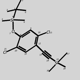 CC(C)(C)[Si](C)(C)Oc1cc(Cl)c(C#C[Si](C)(C)C)cc1Cl